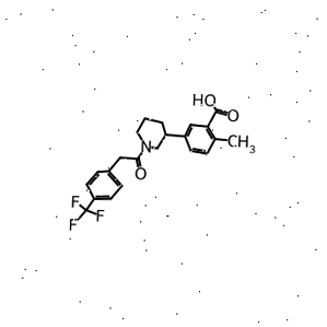 Cc1ccc(C2CCCN(C(=O)Cc3ccc(C(F)(F)F)cc3)C2)cc1C(=O)O